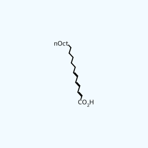 CCCCCCCCCCCCCC=CC=CC=CC(=O)O